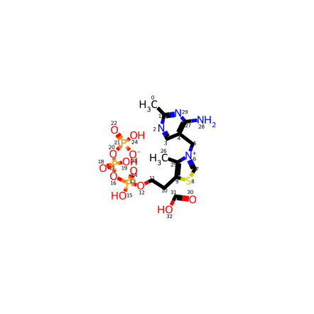 Cc1ncc(C[n+]2csc(CCOP(=O)(O)OP(=O)(O)OP(=O)([O-])O)c2C)c(N)n1.O=CO